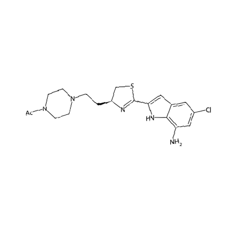 CC(=O)N1CCN(CC[C@H]2CSC(c3cc4cc(Cl)cc(N)c4[nH]3)=N2)CC1